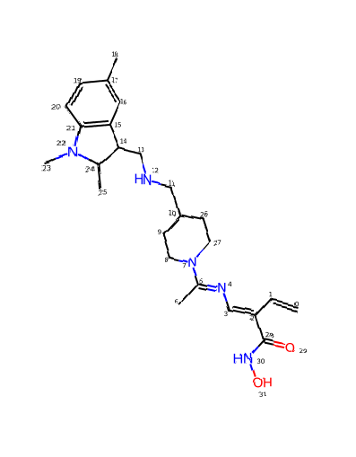 C=C/C(=C\N=C(/C)N1CCC(CNCC2c3cc(C)ccc3N(C)C2C)CC1)C(=O)NO